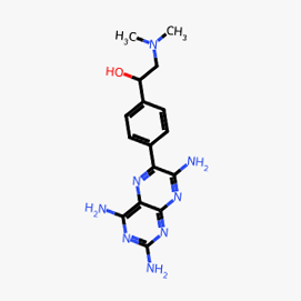 CN(C)CC(O)c1ccc(-c2nc3c(N)nc(N)nc3nc2N)cc1